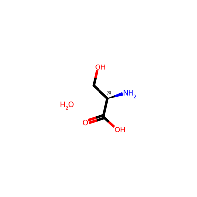 N[C@H](CO)C(=O)O.O